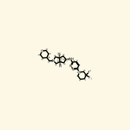 FC1(F)CCCN(c2ccc(N[C@H]3C[C@@H]4CN(CC5CCOCC5)C[C@@H]4C3)nn2)C1